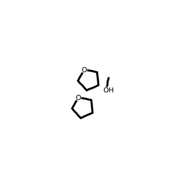 C1CCOC1.C1CCOC1.CO